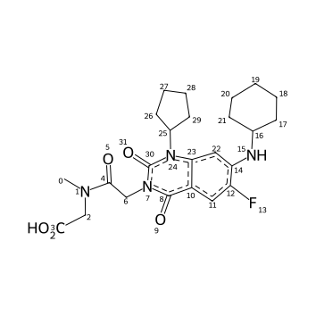 CN(CC(=O)O)C(=O)Cn1c(=O)c2cc(F)c(NC3CCCCC3)cc2n(C2CCCC2)c1=O